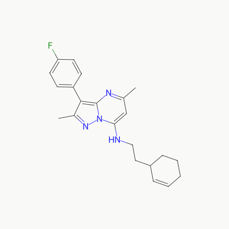 Cc1cc(NCCC2C=CCCC2)n2nc(C)c(-c3ccc(F)cc3)c2n1